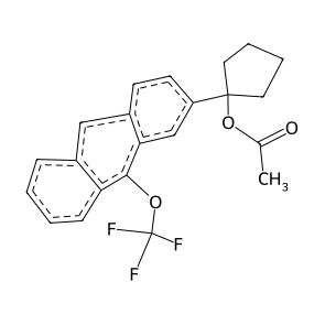 CC(=O)OC1(c2ccc3cc4ccccc4c(OC(F)(F)F)c3c2)CCCC1